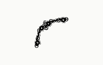 O=C(Oc1ccc(OCCCCOCC2CCC3OC3C2)cc1)c1ccc(OCCCCOCC2CCC3OC3C2)cc1F